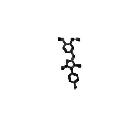 CCOc1cc(/C=C2\SC(=S)N(c3ccc(F)cc3)C2=O)ccc1O